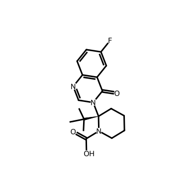 CC(C)(C)[C@@]1(n2cnc3ccc(F)cc3c2=O)CCCCN1C(=O)O